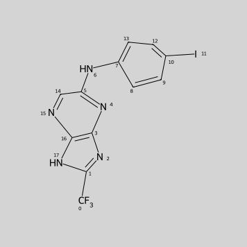 FC(F)(F)c1nc2nc(Nc3ccc(I)cc3)cnc2[nH]1